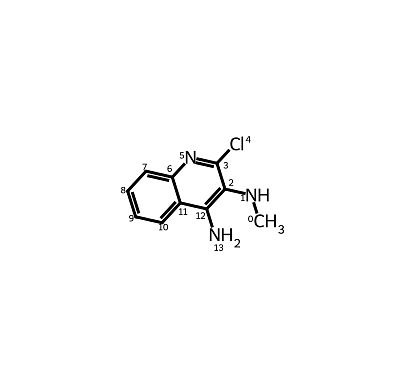 CNc1c(Cl)nc2ccccc2c1N